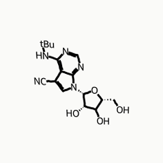 CC(C)(C)Nc1ncnc2c1c(C#N)cn2[C@@H]1O[C@H](CO)C(O)[C@@H]1O